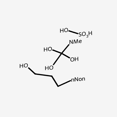 CCCCCCCCCCCCO.CNC(O)(O)O.O=S(=O)(O)O